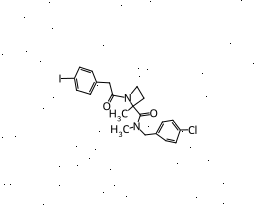 CN(Cc1ccc(Cl)cc1)C(=O)C1(C)CCN1C(=O)Cc1ccc(I)cc1